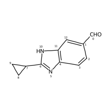 O=Cc1ccc2nc(C3CC3)[nH]c2c1